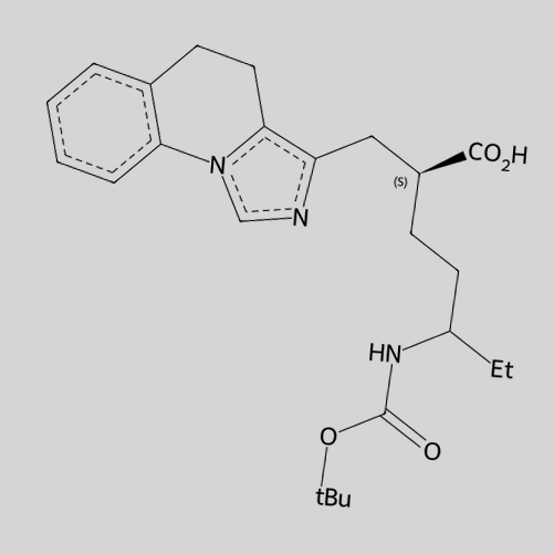 CCC(CC[C@@H](Cc1ncn2c1CCc1ccccc1-2)C(=O)O)NC(=O)OC(C)(C)C